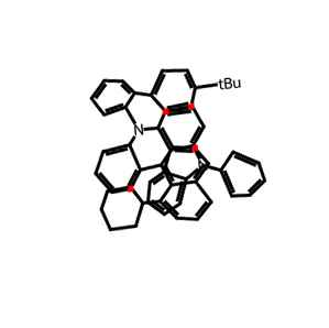 CC(C)(C)c1ccc(-c2ccccc2N(c2ccccc2-c2cccc3cccc(C4CCCCC4)c23)c2cccc3c2c2ccccc2n3-c2ccccc2)cc1